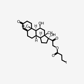 C[C@]12CCC(=O)C=C1CC[C@@H]1[C@@H]2[C@@H](O)C[C@@]2(C)[C@H]1CC[C@]2(O)C(=O)COC(=O)CCI